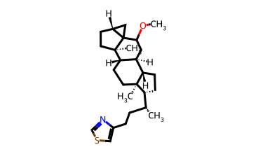 COC1C[C@H]2[C@@H]3CC[C@H]([C@H](C)CCc4cscn4)[C@@]3(C)CC[C@@H]2[C@@]2(C)CC[C@@H]3CC132